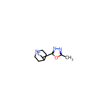 Cc1nnc(C2CN3CCC2CC3)o1